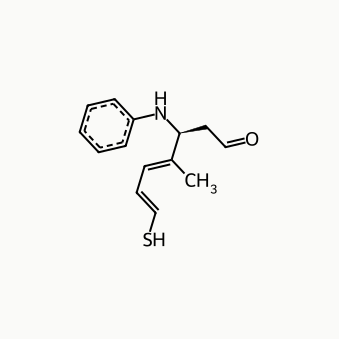 CC(=C/C=C/S)[C@H](CC=O)Nc1ccccc1